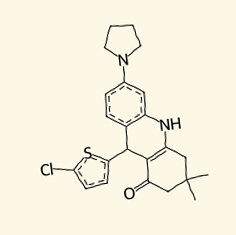 CC1(C)CC(=O)C2=C(C1)Nc1cc(N3CCCC3)ccc1C2c1ccc(Cl)s1